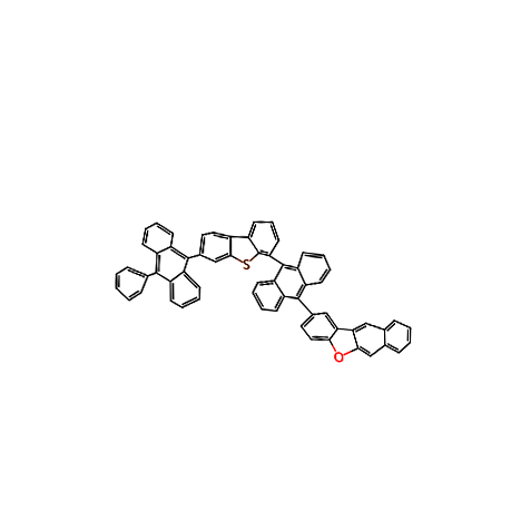 c1ccc(-c2c3ccccc3c(-c3ccc4c(c3)sc3c(-c5c6ccccc6c(-c6ccc7oc8cc9ccccc9cc8c7c6)c6ccccc56)cccc34)c3ccccc23)cc1